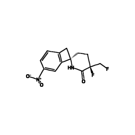 O=C1N[C@]2(CC[C@]1(F)CF)Cc1ccc([N+](=O)[O-])cc12